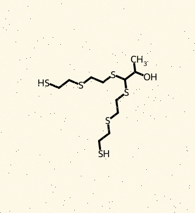 CC(O)C(SCCSCCS)SCCSCCS